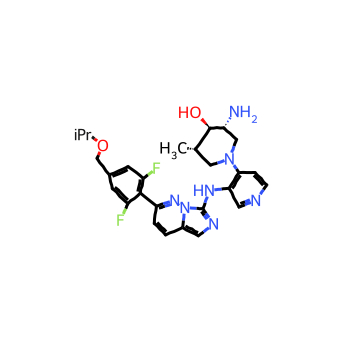 CC(C)OCc1cc(F)c(-c2ccc3cnc(Nc4cnccc4N4C[C@@H](N)[C@H](O)[C@@H](C)C4)n3n2)c(F)c1